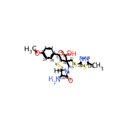 COc1ccc(CC2S[C@@H]3C(N)C(=O)N3CC2(CSc2nnc(C)s2)C(=O)O)cc1